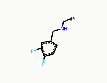 CC(C)CNCc1ccc(F)c(F)c1